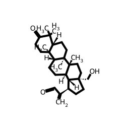 C=C(C=O)[C@@H]1CC[C@]2(CO)CC[C@]3(C)[C@H](CC[C@@H]4[C@@]5(C)CCC(=O)C(C)(C)[C@@H]5CC[C@]43C)[C@@H]12